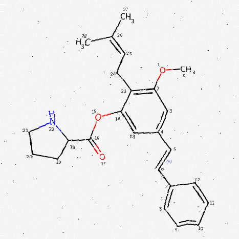 COc1cc(/C=C/c2ccccc2)cc(OC(=O)C2CCCN2)c1CC=C(C)C